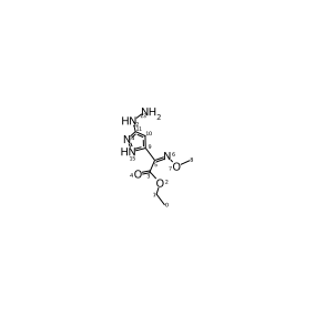 CCOC(=O)C(=NOC)c1cc(NN)n[nH]1